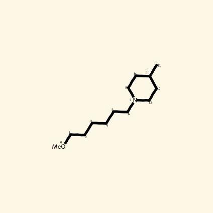 COCCCCCCN1CCC(C)CC1